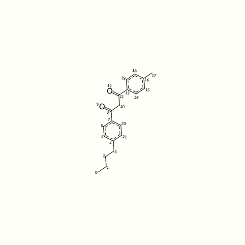 CCCCc1ccc(C(=O)CC(=O)c2ccc(C)cc2)cc1